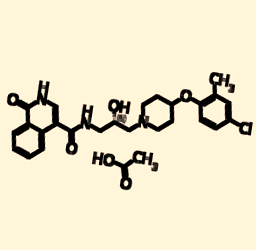 CC(=O)O.Cc1cc(Cl)ccc1OC1CCN(C[C@@H](O)CNC(=O)c2c[nH]c(=O)c3ccccc23)CC1